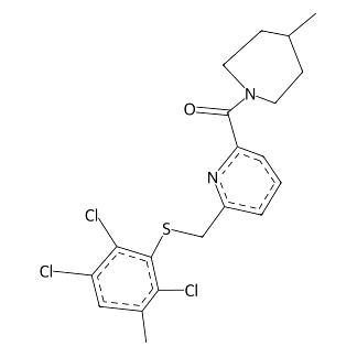 Cc1cc(Cl)c(Cl)c(SCc2cccc(C(=O)N3CCC(C)CC3)n2)c1Cl